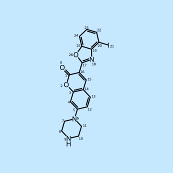 O=c1oc2cc(N3CCNCC3)ccc2cc1-c1nc2c(I)cccc2o1